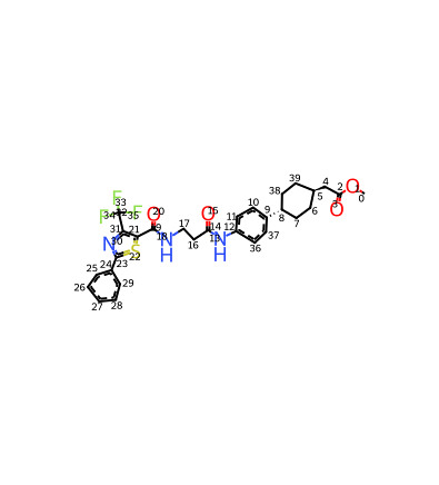 COC(=O)C[C@H]1CC[C@H](c2ccc(NC(=O)CCNC(=O)c3sc(-c4ccccc4)nc3C(F)(F)F)cc2)CC1